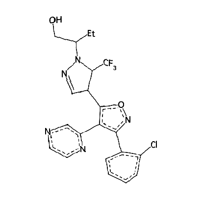 CCC(CO)N1N=CC(c2onc(-c3ccccc3Cl)c2-c2cnccn2)C1C(F)(F)F